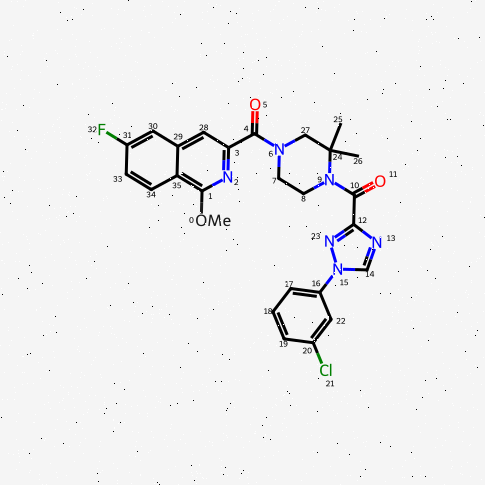 COc1nc(C(=O)N2CCN(C(=O)c3ncn(-c4cccc(Cl)c4)n3)C(C)(C)C2)cc2cc(F)ccc12